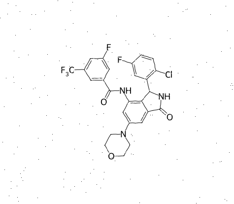 O=C(Nc1cc(N2CCOCC2)cc2c1C(c1cc(F)ccc1Cl)NC2=O)c1cc(F)cc(C(F)(F)F)c1